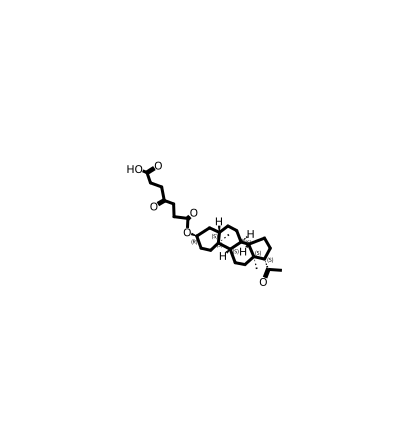 CC(=O)[C@H]1CC[C@H]2[C@@H]3CC[C@H]4C[C@H](OC(=O)CCC(=O)CCC(=O)O)CC[C@]4(C)[C@H]3CC[C@]12C